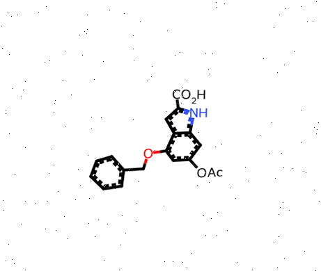 CC(=O)Oc1cc(OCc2ccccc2)c2cc(C(=O)O)[nH]c2c1